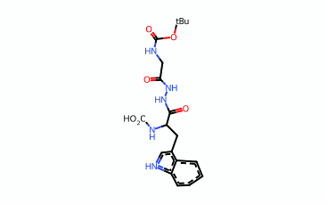 CC(C)(C)OC(=O)NCC(=O)NNC(=O)C(Cc1c[nH]c2ccccc12)NC(=O)O